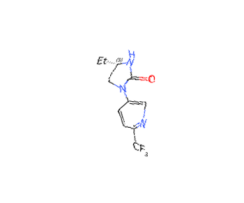 CC[C@H]1CN(c2ccc(C(F)(F)F)nc2)C(=O)N1